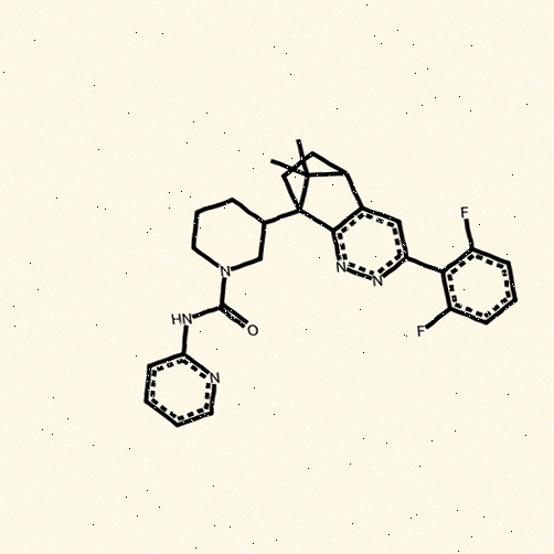 CC1(C)C2CCC1(C1CCCN(C(=O)Nc3ccccn3)C1)c1nnc(-c3c(F)cccc3F)cc12